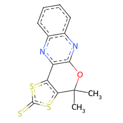 CC1(C)Oc2nc3ccccc3nc2-c2sc(=S)sc21